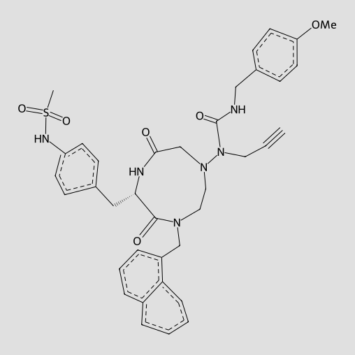 C#CCN(C(=O)NCc1ccc(OC)cc1)N1CCN(Cc2cccc3ccccc23)C(=O)[C@H](Cc2ccc(NS(C)(=O)=O)cc2)NC(=O)C1